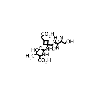 CC(O)C(NC(=O)NC1(c2nc(C(N)CO)no2)CC(CC(=O)O)C1)C(=O)O